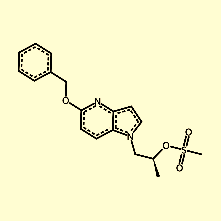 C[C@@H](Cn1ccc2nc(OCc3ccccc3)ccc21)OS(C)(=O)=O